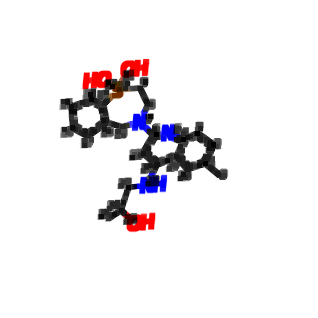 Cc1ccc2nc(N3CCS(O)(O)c4ccccc4C3)cc(NCC(C)O)c2c1